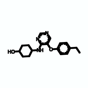 CCc1ccc(Oc2cncnc2NC2CCC(O)CC2)cc1